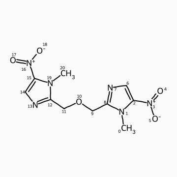 Cn1c([N+](=O)[O-])cnc1COCc1ncc([N+](=O)[O-])n1C